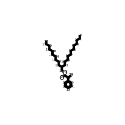 CCCCCCCCCCCCC(CCCCCCCCCC)COC(=O)C(C)c1ccccc1